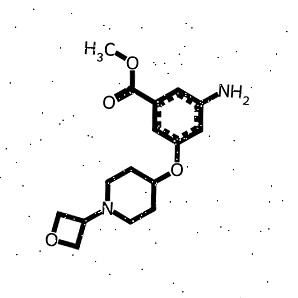 COC(=O)c1cc(N)cc(OC2CCN(C3COC3)CC2)c1